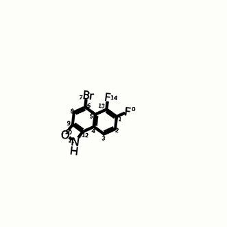 Fc1ccc2c(c(Br)cc3o[nH]c32)c1F